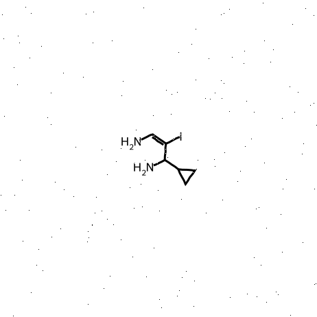 N/C=C(/I)C(N)C1CC1